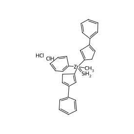 Cl.Cl.[CH3][Zr](=[SiH2])([C]1=CC(c2ccccc2)=CC1)([C]1=CC(c2ccccc2)=CC1)[c]1ccccc1